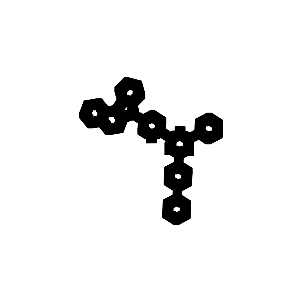 c1ccc(-c2ccc(-c3nc(-c4ccccc4)nc(-c4ccc(-n5c6ccccc6c6c7ccccc7ccc65)cn4)n3)cc2)cc1